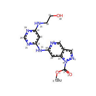 CC(C)(C)OC(=O)n1ncc2cnc(Nc3cc(NCCO)ncn3)cc21